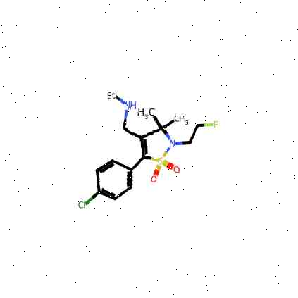 CCNCC1=C(c2ccc(Cl)cc2)S(=O)(=O)N(CCF)C1(C)C